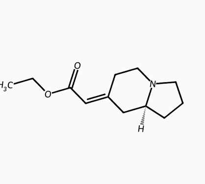 CCOC(=O)/C=C1\CCN2CCC[C@H]2C1